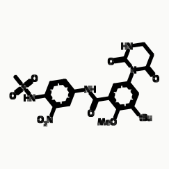 COc1c(C(=O)Nc2ccc(NS(C)(=O)=O)c([N+](=O)[O-])c2)cc(N2C(=O)CCNC2=O)cc1C(C)(C)C